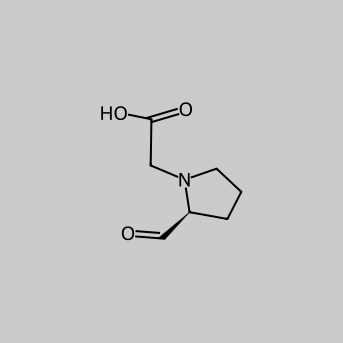 O=C[C@@H]1CCCN1CC(=O)O